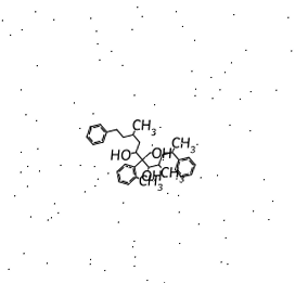 Cc1ccccc1C(CO)(C(O)CC(C)CCc1ccccc1)C(O)C(C)CC(C)c1ccccc1